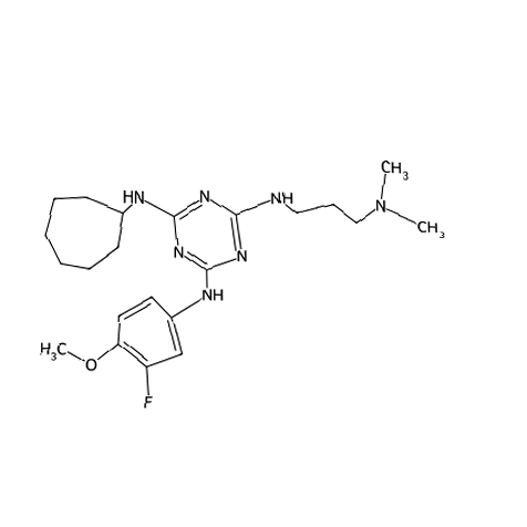 COc1ccc(Nc2nc(NCCCN(C)C)nc(NC3CCCCCC3)n2)cc1F